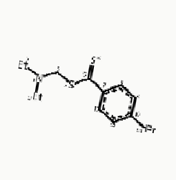 CCN(CC)CSC(=S)c1ccc(C(C)C)cc1